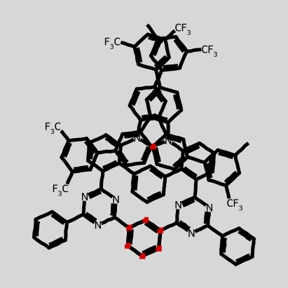 Cc1cc(-c2ccc3c(c2)c2cc(-c4cc(C)cc(C(F)(F)F)c4)ccc2n3-c2cccc(-c3nc(-c4ccccc4)nc(-c4ccccc4)n3)c2-c2cccc(-c3c(-c4nc(-c5ccccc5)nc(-c5ccccc5)n4)cccc3-n3c4ccc(-c5cc(C(F)(F)F)cc(C(F)(F)F)c5)cc4c4cc(-c5cc(C(F)(F)F)cc(C(F)(F)F)c5)ccc43)c2)cc(C(F)(F)F)c1